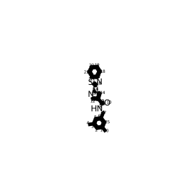 Cc1cc(C)cc(CNC(=O)c2cnn(-c3nc4ccccc4s3)c2)c1